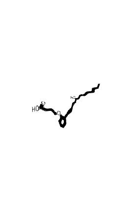 CCCCCCCC[C@H](O)/C=C/C=C/c1ccccc1OCCCC(=O)O